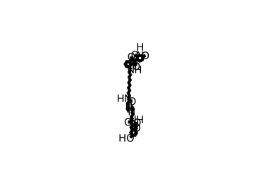 O=C(CN1CCN(CCNC(=O)c2cc3cc(O)ccc3oc2=O)CC1)NCCCCCCCCCCNc1cccc2c1C(=O)N(C1CCC(=O)NC1=O)C2=O